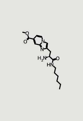 CCCCCCNC(=O)[C@@H](N)Cc1cn2ccc(C(=O)OC)cc2n1